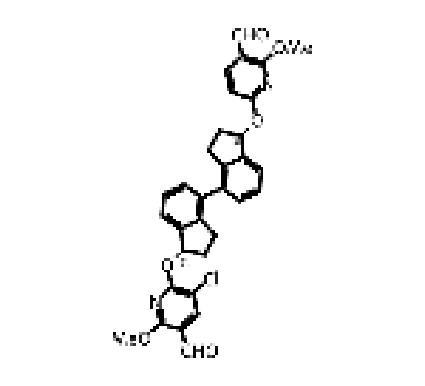 COc1nc(O[C@H]2CCc3c(-c4cccc5c4CC[C@@H]5Oc4nc(OC)c(C=O)cc4Cl)cccc32)ccc1C=O